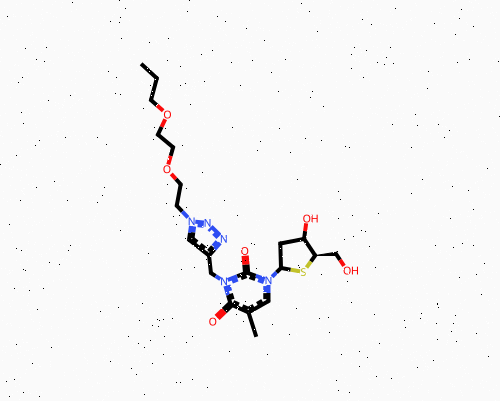 CCCOCCOCCn1cc(Cn2c(=O)c(C)cn(C3CC(O)[C@@H](CO)S3)c2=O)nn1